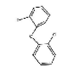 Fc1ccccc1Oc1c[c]ccc1Cl